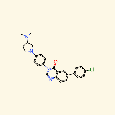 CN(C)C1CCN(c2ccc(-n3cnc4ccc(-c5ccc(Cl)cc5)cc4c3=O)cc2)C1